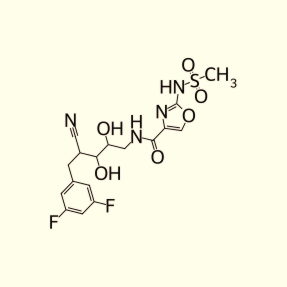 CS(=O)(=O)Nc1nc(C(=O)NCC(O)C(O)C(C#N)Cc2cc(F)cc(F)c2)co1